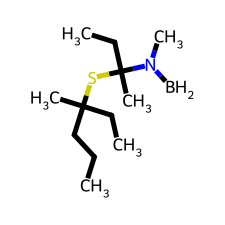 BN(C)C(C)(CC)SC(C)(CC)CCC